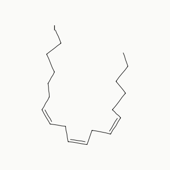 CCCCC/C=C\C/C=C\C/C=C\CCCCCI